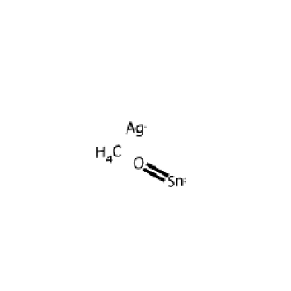 C.[Ag].[O]=[Sn]